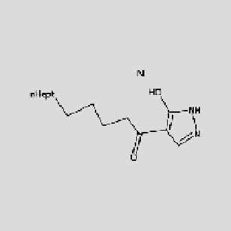 CCCCCCCCCCCC(=O)c1cn[nH]c1O.[Ni]